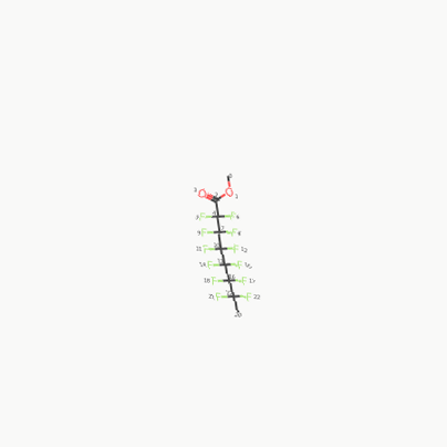 COC(=O)C(F)(F)C(F)(F)C(F)(F)C(F)(F)C(F)(F)C(C)(F)F